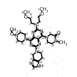 COCCN(CCOC)c1nc(N2CCN(C)C(=O)C2)c2nc(N3CCc4[nH]cnc4C3)nc(N3CCN(OC)CC3)c2n1